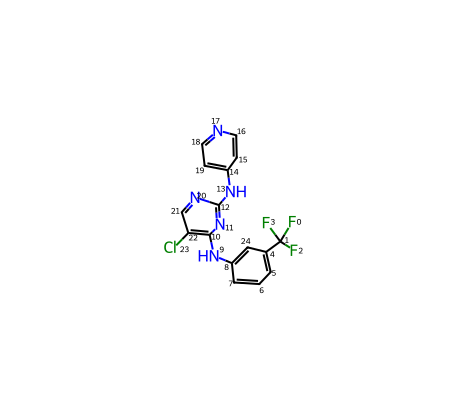 FC(F)(F)c1cccc(Nc2nc(Nc3ccncc3)ncc2Cl)c1